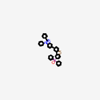 O=P(c1ccccc1)(c1ccccc1)c1ccc2sc3ccc(-c4ccc5c(c4)nc(-c4ccccc4)n5-c4ccccc4)cc3c2c1